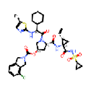 C=C[C@@H]1C[C@]1(NC(=O)[C@@H]1C[C@@H](OC(=O)N2Cc3cccc(Cl)c3C2)CN1C(=O)[C@@H](Nc1ncc(CC)s1)C1CCCCC1)C(=O)NS(=O)(=O)C1CC1